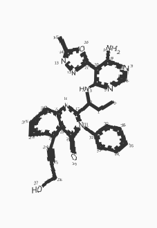 CCC(Nc1ncnc(N)c1-c1nnc(C)o1)c1nc2cccc(C#CCO)c2c(=O)n1-c1ccccc1